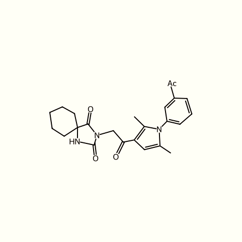 CC(=O)c1cccc(-n2c(C)cc(C(=O)CN3C(=O)NC4(CCCCC4)C3=O)c2C)c1